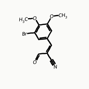 COc1cc(/C=C(/C#N)C=O)cc(Br)c1OC